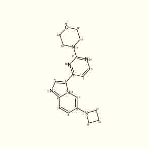 c1cc(-c2cnc3ccc(N4CCC4)cn23)nc(N2CCOCC2)n1